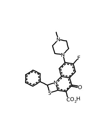 CN1CCN(c2cc3c(cc2F)c(=O)c(C(=O)O)c2n3C(c3ccccc3)S2)CC1